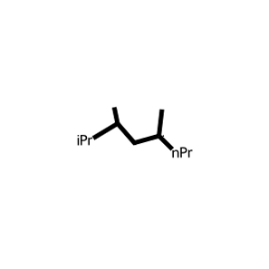 CCC[C](C)CC(C)C(C)C